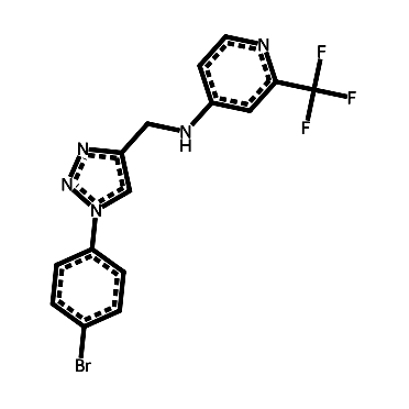 FC(F)(F)c1cc(NCc2cn(-c3ccc(Br)cc3)nn2)ccn1